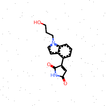 O=C1C=C(c2cccc3c2ccn3CCCO)C(=O)N1